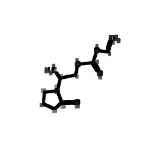 C=COC(=O)OCC(C)N1CCCC1=O